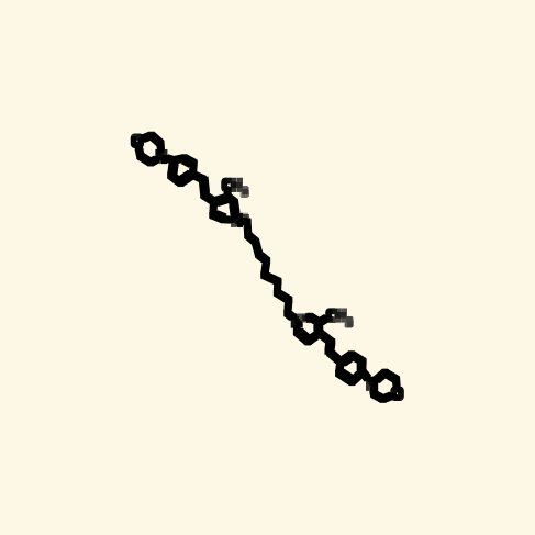 Cc1c[n+](CCCCCCCCCC[n+]2ccc(/C=C/c3ccc(N4CCOCC4)cc3)c(C)c2)ccc1/C=C/c1ccc(N2CCOCC2)cc1